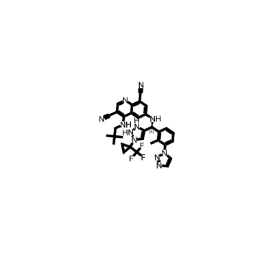 Cc1c([C@H](Nc2cc(C#N)c3ncc(C#N)c(NCC(C)(C)C)c3c2)C2=CN(C3(C(F)(F)F)CC3)NN2)cccc1-n1ccnn1